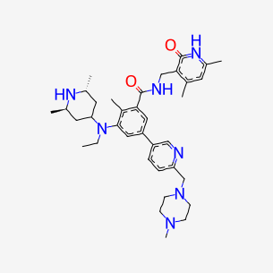 CCN(c1cc(-c2ccc(CN3CCN(C)CC3)nc2)cc(C(=O)NCc2c(C)cc(C)[nH]c2=O)c1C)C1C[C@@H](C)N[C@H](C)C1